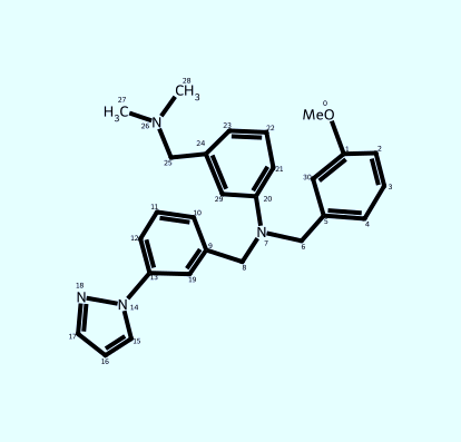 COc1cccc(CN(Cc2cccc(-n3cccn3)c2)c2cccc(CN(C)C)c2)c1